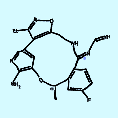 CCc1noc2c1-c1cnc(N)c(c1)O[C@H](C)c1cc(F)ccc1/C(=N/C=N)NC2